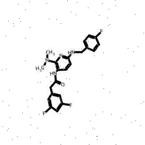 CN(C)c1nc(NCc2ccc(F)cc2)ccc1NC(=O)Cc1cc(F)cc(F)c1